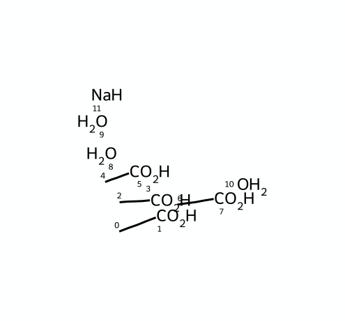 CC(=O)O.CC(=O)O.CC(=O)O.CC(=O)O.O.O.O.[NaH]